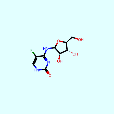 O=c1nc(NC2O[C@@H](CO)[C@H](O)[C@H]2O)c(F)c[nH]1